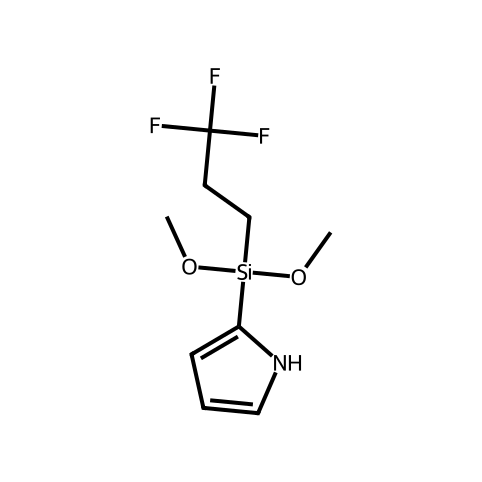 CO[Si](CCC(F)(F)F)(OC)c1ccc[nH]1